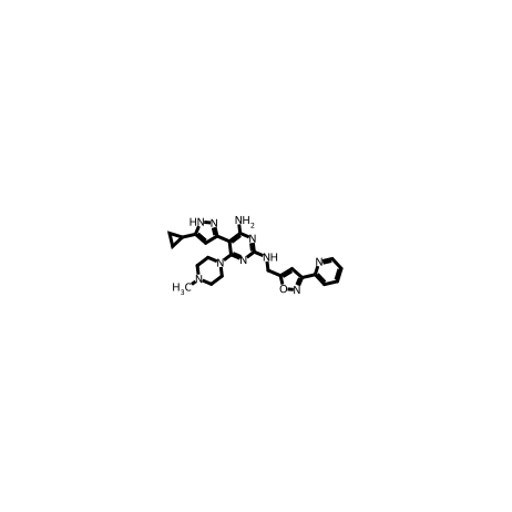 CN1CCN(c2nc(NCc3cc(-c4ccccn4)no3)nc(N)c2-c2cc(C3CC3)[nH]n2)CC1